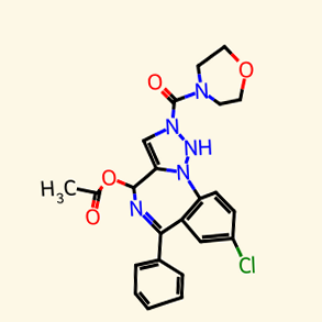 CC(=O)OC1N=C(c2ccccc2)c2cc(Cl)ccc2N2NN(C(=O)N3CCOCC3)C=C12